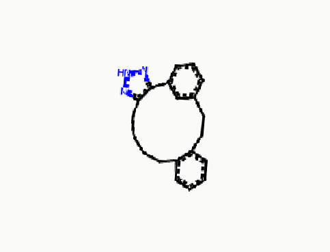 c1cc2cc(c1)-c1n[nH]nc1CCCCc1ccccc1CC2